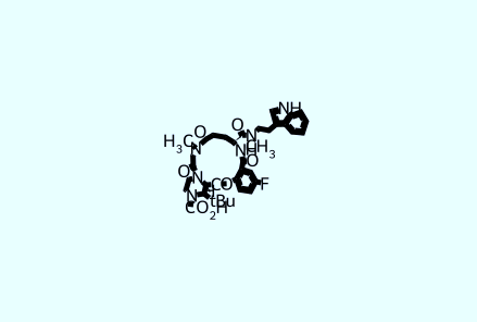 CN1CC(=O)N2CCN(C(=O)O)C(C(C)(C)C)[C@@H]2COc2ccc(F)cc2C(=O)N(C)[C@@H](C(=O)NCCc2c[nH]c3ccccc23)CCC1=O